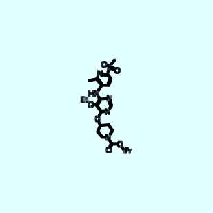 CCOc1c(Nc2ccc(S(C)(=O)=O)nc2C)ncnc1OC1CCN(C(=O)OC(C)C)CC1